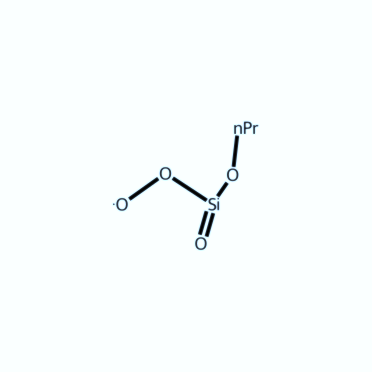 CCCO[Si](=O)O[O]